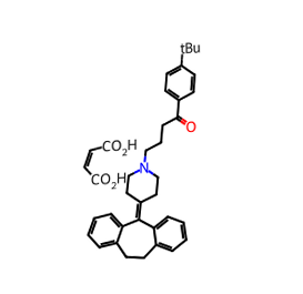 CC(C)(C)c1ccc(C(=O)CCCN2CCC(=C3c4ccccc4CCc4ccccc43)CC2)cc1.O=C(O)/C=C\C(=O)O